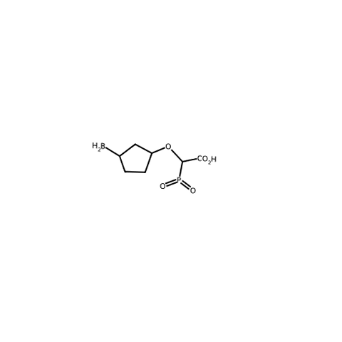 BC1CCC(OC(C(=O)O)P(=O)=O)C1